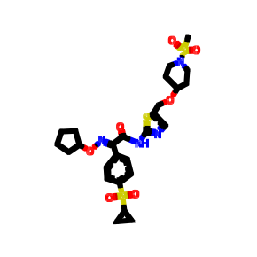 CS(=O)(=O)N1CCC(OCc2cnc(NC(=O)/C(=N/OC3CCCC3)c3ccc(S(=O)(=O)C4CC4)cc3)s2)CC1